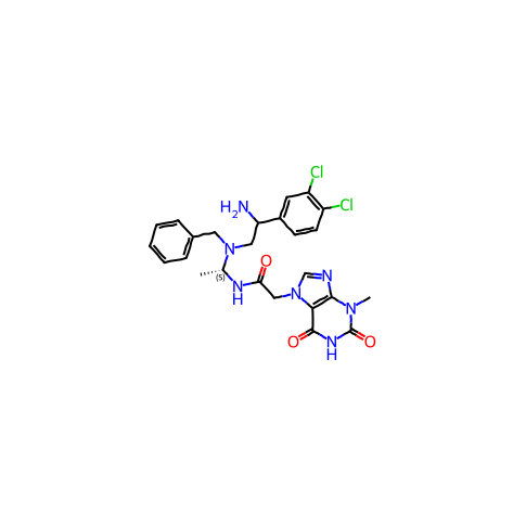 C[C@@H](NC(=O)Cn1cnc2c1c(=O)[nH]c(=O)n2C)N(Cc1ccccc1)CC(N)c1ccc(Cl)c(Cl)c1